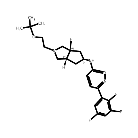 CC(C)(C)OCCN1C[C@H]2C[C@H](Nc3ccc(-c4cc(F)cc(F)c4F)nn3)C[C@H]2C1